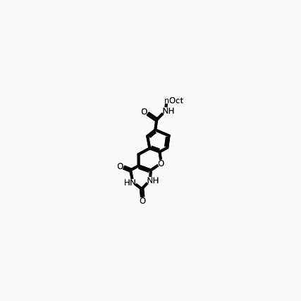 CCCCCCCCNC(=O)c1ccc2c(c1)Cc1c([nH]c(=O)[nH]c1=O)O2